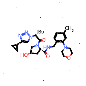 Cc1ccc(CNC(=O)[C@@H]2C[C@@H](O)CN2C(=O)[C@@H](n2cc(C3CC3)nn2)C(C)(C)C)c(N2CCOCC2)c1